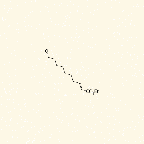 CCOC(=O)C=CCCCCCCCO